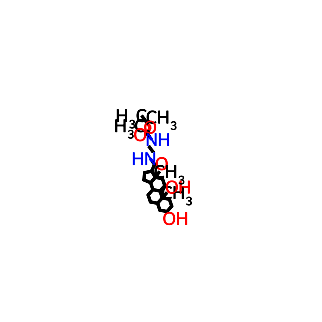 CC(C)(C)OC(=O)NCCNC(=O)C1CCC2C3CCC4CC(O)CCC4(C)C3C(O)CC12C